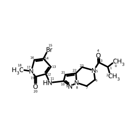 CC(C)C(=O)N1CCn2nc(Nc3cc(Br)cn(C)c3=O)cc2C1